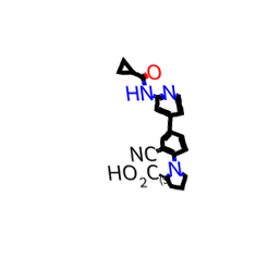 N#Cc1cc(-c2ccnc(NC(=O)C3CC3)c2)ccc1N1CCC[C@H]1C(=O)O